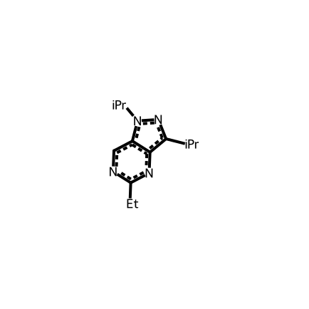 CCc1ncc2c(n1)c(C(C)C)nn2C(C)C